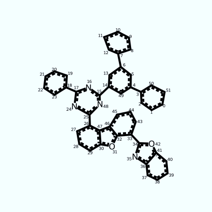 c1ccc(-c2cc(-c3ccccc3)cc(-c3nc(-c4ccccc4)nc(-c4cccc5oc6c(-c7nc8ccccc8o7)cccc6c45)n3)c2)cc1